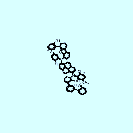 Cc1ccc(C)c(N(c2cccc(-c3cccc(-c4ccccc4C)c3)c2O)c2ccc3ccc4c(N(c5cc(C)ccc5C)c5cccc6c5oc5c(-c7ccccc7C)cccc56)ccc5ccc2c3c54)c1